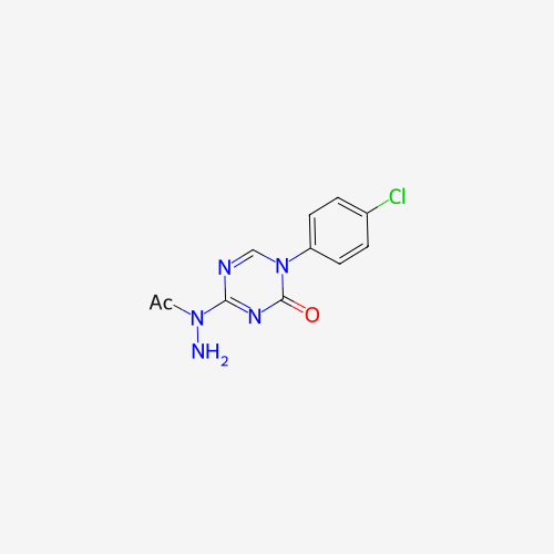 CC(=O)N(N)c1ncn(-c2ccc(Cl)cc2)c(=O)n1